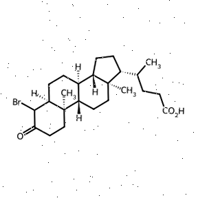 CC(CCC(=O)O)[C@H]1CC[C@H]2[C@@H]3CC[C@@H]4C(Br)C(=O)CC[C@]4(C)[C@H]3CC[C@]12C